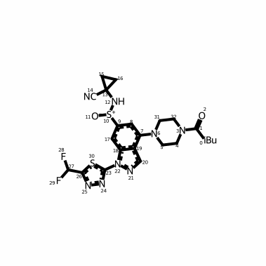 CCC(C)C(=O)N1CCN(c2cc([S+]([O-])NC3(C#N)CC3)cc3c2cnn3-c2nnc(C(F)F)s2)CC1